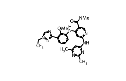 CNC(=O)c1cnc(Nc2cc(C)nc(C)n2)cc1Nc1cccc(-c2ncn(CC(F)(F)F)n2)c1OC